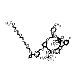 COCCOCCOCCOCCOCCOCC1(c2nccc(COc3ccc4cc3C[C@H](C(=O)OC(C)(C)C)Oc3ncnc5sc(-c6ccc(F)cc6)c(c35)-c3c(C)c(Cl)c(c(Cl)c3C)O[C@H](CN3CCN(C)CC3)CO4)n2)CCC1